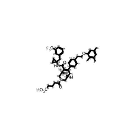 Cc1cc(C)c(C)c(OCCc2ccc(C3=C(C(=O)NC4(Cc5cccc(C(F)(F)F)c5)CC4)[C@H]4CN(C(=O)CCCC(=O)O)C[C@@H](C3)N4)cc2)c1